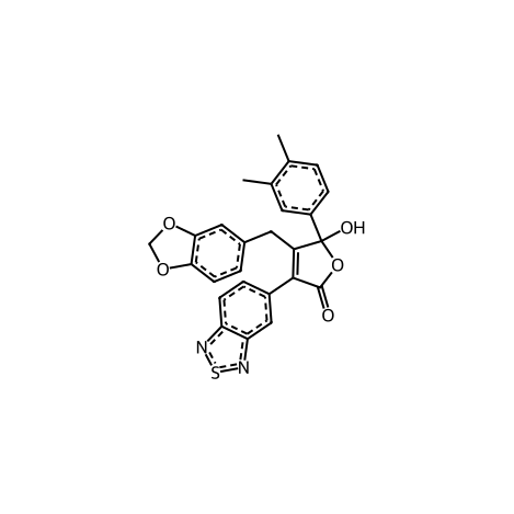 Cc1ccc(C2(O)OC(=O)C(c3ccc4nsnc4c3)=C2Cc2ccc3c(c2)OCO3)cc1C